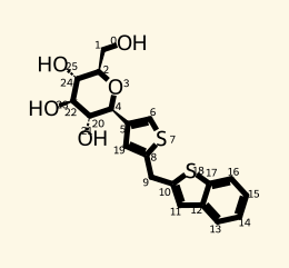 OC[C@H]1O[C@@H](c2csc(Cc3cc4ccccc4s3)c2)[C@H](O)[C@@H](O)[C@@H]1O